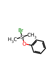 C[Si](C)(Br)Oc1ccccc1